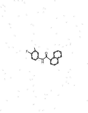 Cc1cc(NC(=O)c2cccc3ccccc23)ccc1F